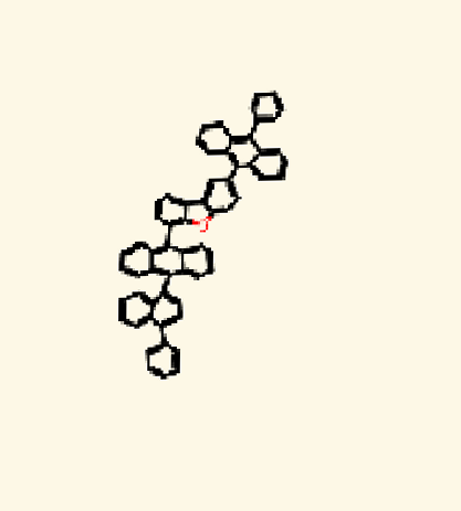 c1ccc(-c2ccc(-c3c4ccccc4c(-c4cccc5c4oc4ccc(-c6c7ccccc7c(-c7ccccc7)c7ccccc67)cc45)c4ccccc34)c3ccccc23)cc1